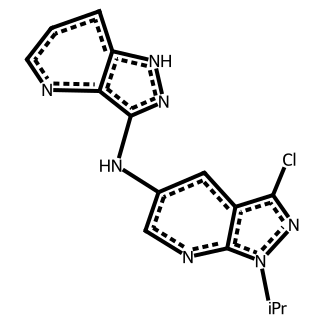 CC(C)n1nc(Cl)c2cc(Nc3n[nH]c4cccnc34)cnc21